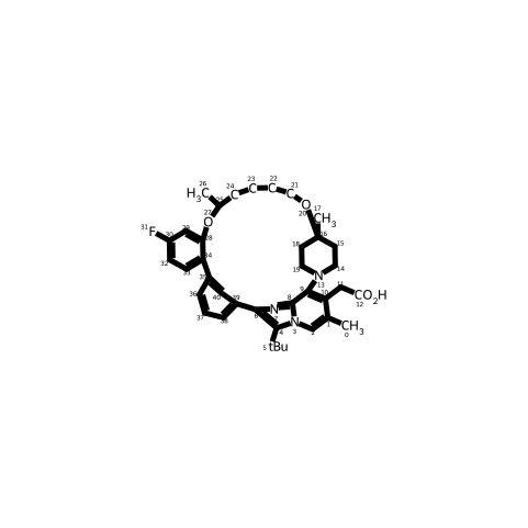 Cc1cn2c(C(C)(C)C)c3nc2c(c1CC(=O)O)N1CCC(C)(CC1)OCCCCC(C)Oc1cc(F)ccc1-c1cccc-3c1